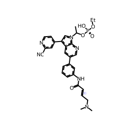 CCOP(=O)(O)OC(C)n1cc(-c2ccnc(C#N)c2)c2cc(-c3cccc(NC(=O)/C=C/CN(C)C)c3)cnc21